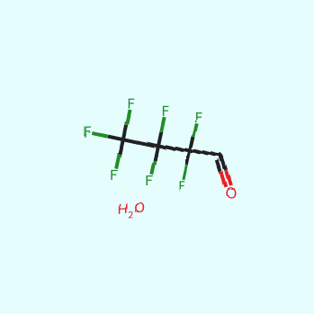 O.O=CC(F)(F)C(F)(F)C(F)(F)F